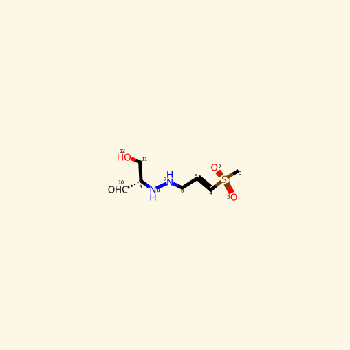 CS(=O)(=O)/C=C/CNN[C@H](C=O)CO